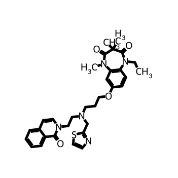 CCN1C(=O)C(C)(C)C(=O)N(C)c2cc(OCCCN(CCn3ccc4ccccc4c3=O)Cc3nccs3)ccc21